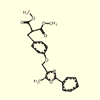 COC(=O)C(Cc1ccc(OCc2nc(-c3ccccc3)oc2C)cc1)C(=O)OC